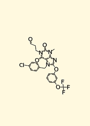 Cn1c(=O)n(CCC=O)c(=O)c2c1nc(Oc1cccc(OC(F)(F)F)c1)n2Cc1ccc(Cl)cc1